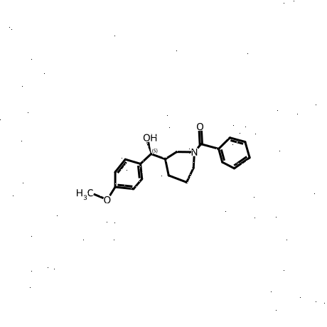 COc1ccc([C@@H](O)C2CCCN(C(=O)c3ccccc3)C2)cc1